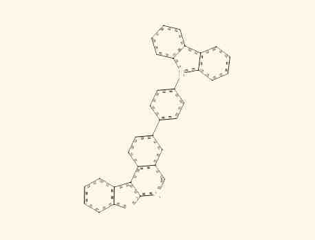 c1ccc2c(c1)oc1ncc3cc(-c4ccc(-n5c6ccccc6c6ccccc65)cc4)ccc3c12